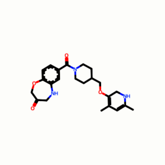 CC1=CC(C)=C(OCC2CCN(C(=O)c3ccc4c(c3)NCC(=O)CO4)CC2)CN1